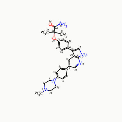 CN1CCN(c2ccc(-c3cnc4[nH]cc(-c5ccc(OC(C)(C)C(N)=O)cc5)c4c3)cc2)CC1